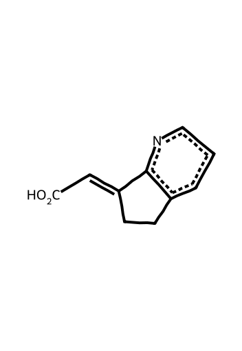 O=C(O)/C=C1\CCc2cccnc21